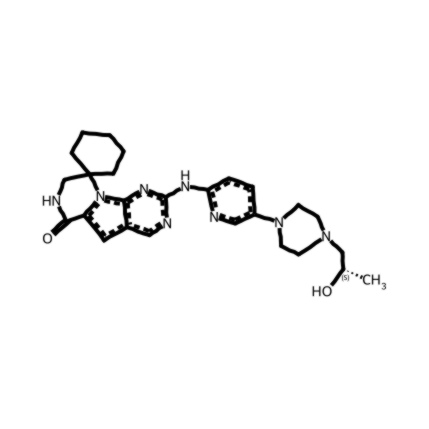 C[C@H](O)CN1CCN(c2ccc(Nc3ncc4cc5n(c4n3)C3(CCCCC3)CNC5=O)nc2)CC1